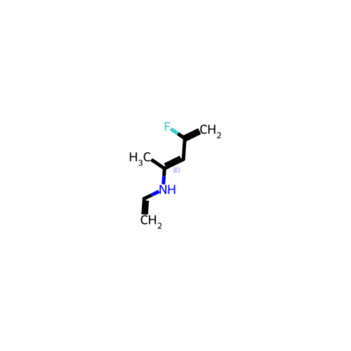 C=CN/C(C)=C/C(=C)F